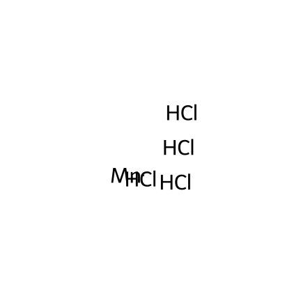 Cl.Cl.Cl.Cl.[Mn]